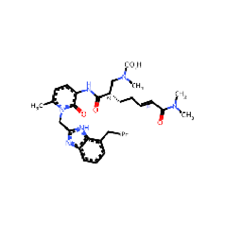 Cc1ccc(NC(=O)[C@@H](CC/C=C/C(=O)N(C)C)CN(C)C(=O)O)c(=O)n1Cc1nc2cccc(CC(C)C)c2[nH]1